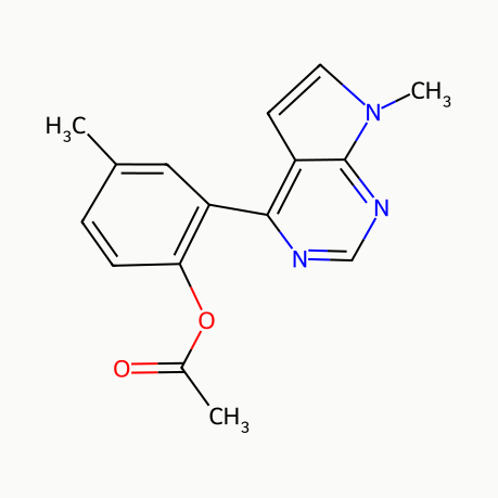 CC(=O)Oc1ccc(C)cc1-c1ncnc2c1ccn2C